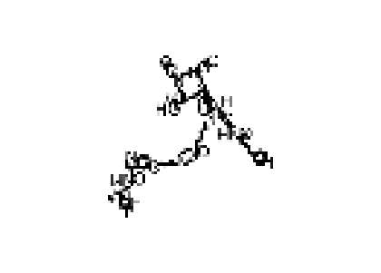 C#C[C@H]1CC(F)(F)CN1C(=O)CNC(=O)c1ccnc2ccc(OCCCCN3CCN(C(=O)CCCCCNC(=O)[C@H](CCOCCNC(=O)CCCc4ccc(I)cc4)NC(=O)CN4CCN(COC=O)CCN(COC=O)CCN(CC(=O)O)CC4)CC3)cc12